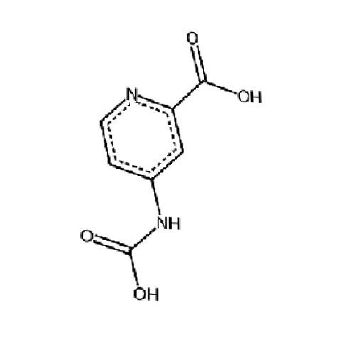 O=C(O)Nc1ccnc(C(=O)O)c1